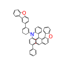 C1=C=C(c2ccccc2N(C2=CC(c3ccc4oc5ccccc5c4c3)=CCC2)c2ccc(-c3ccccc3)cc2)c2c(ccc3oc4ccccc4c23)C=1